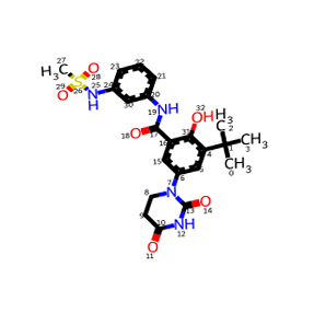 CC(C)(C)c1cc(N2CCC(=O)NC2=O)cc(C(=O)Nc2cccc(NS(C)(=O)=O)c2)c1O